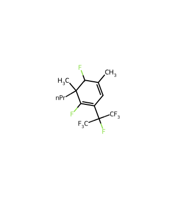 CCCC1(C)[C](F)C(C)=CC(C(F)(C(F)(F)F)C(F)(F)F)=C1F